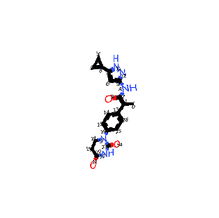 CC(C(=O)Nc1cc(C2CC2)[nH]n1)c1ccc(N2CCC(=O)NC2=O)cc1